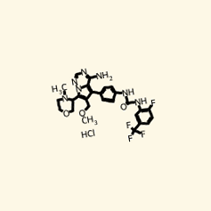 COCc1c(-c2ccc(NC(=O)Nc3cc(C(F)(F)F)ccc3F)cc2)c2c(N)ncnn2c1C1COCCN1C.Cl